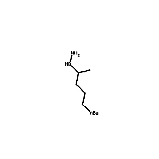 CCCCCCCC(C)BN